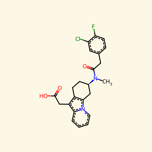 CN(C(=O)Cc1ccc(F)c(Cl)c1)[C@@H]1CCc2c(CC(=O)O)c3ccccn3c2C1